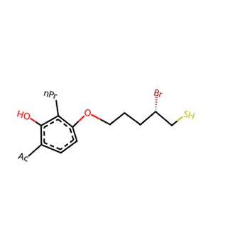 CCCc1c(OCCC[C@H](Br)CS)ccc(C(C)=O)c1O